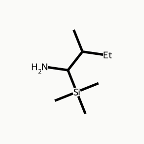 CCC(C)C(N)[Si](C)(C)C